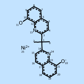 CC(C)(c1ccc2cccc([O-])c2n1)c1ccc2cccc([O-])c2n1.[Ni+2]